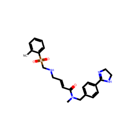 CN(Cc1ccc(C2=NCCN2)cc1)C(=O)C=CCNCS(=O)(=O)c1ccccc1C#N